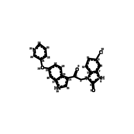 O=C(Cn1c(=O)[nH]c2cc(Cl)ccc21)c1c[nH]c2cc(Oc3cccnc3)ccc12